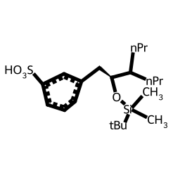 CCCC(CCC)[C@H](Cc1cccc(S(=O)(=O)O)c1)O[Si](C)(C)C(C)(C)C